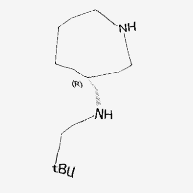 CC(C)(C)CN[C@@H]1CCCNC1